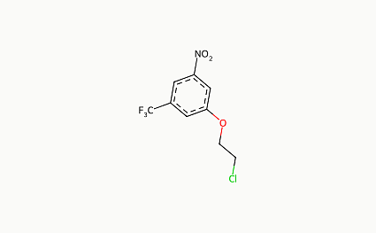 O=[N+]([O-])c1cc(OCCCl)cc(C(F)(F)F)c1